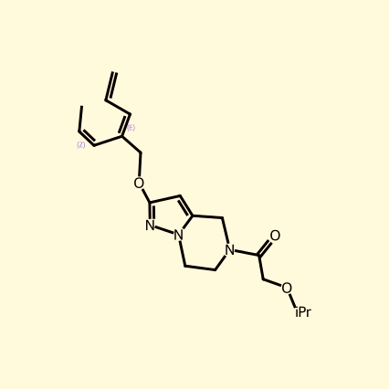 C=C/C=C(\C=C/C)COc1cc2n(n1)CCN(C(=O)COC(C)C)C2